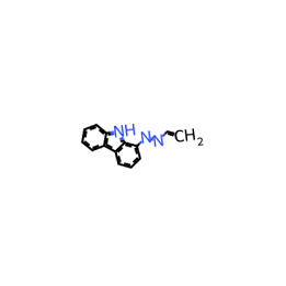 C=C/N=N/c1cccc2c1[nH]c1ccccc12